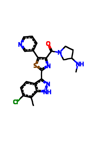 CNC1CCN(C(=O)c2nc(-c3n[nH]c4c(C)c(Cl)ccc34)sc2-c2cccnc2)C1